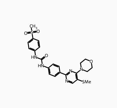 CSc1cnc(-c2ccc(NC(=O)Nc3ccc(S(C)(=O)=O)cc3)cc2)nc1N1CCOCC1